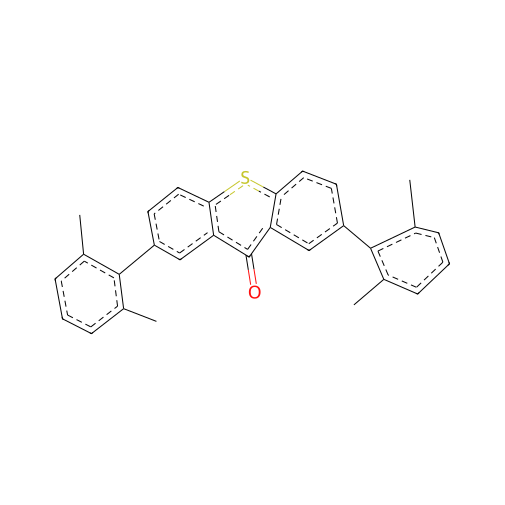 Cc1cccc(C)c1-c1ccc2sc3ccc(-c4c(C)cccc4C)cc3c(=O)c2c1